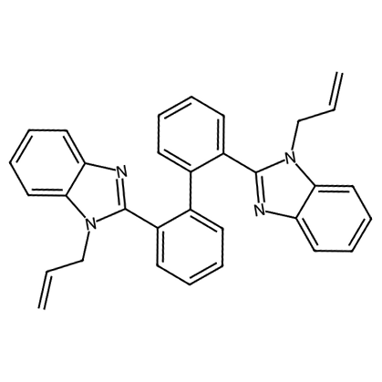 C=CCn1c(-c2ccccc2-c2ccccc2-c2nc3ccccc3n2CC=C)nc2ccccc21